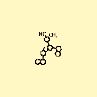 Cc1cc(-c2cc(-c3cccc4ccccc34)cc3c2Cc2ccc(-c4cccc5ccccc45)cc2-3)ccc1O